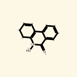 O=c1c2ccccc2c2c(p1O)CCC=C2